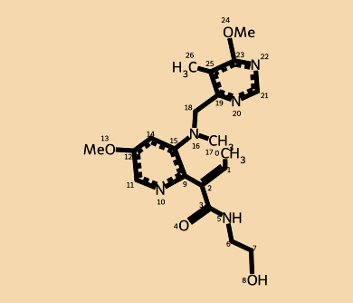 C/C=C(/C(=O)NCCO)c1ncc(OC)cc1N(C)Cc1ncnc(OC)c1C